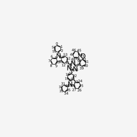 c1ccc(-n2c3ccccc3c3cc(-c4nc(-c5ccc6c(c5)c5ccccc5n6-c5ccccc5)nc(-c5cccc6oc7ccccc7c56)n4)ccc32)cc1